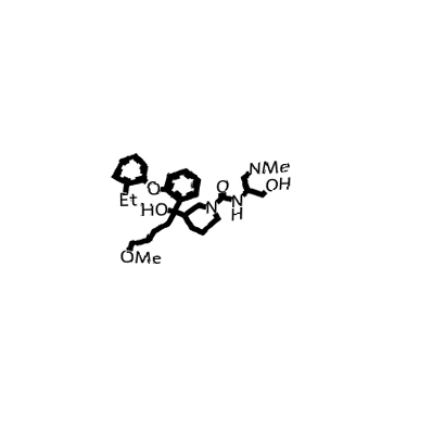 CCc1ccccc1Oc1ccccc1C(O)(CCCCOC)C1CCCN(C(=O)NC(CO)CNC)C1